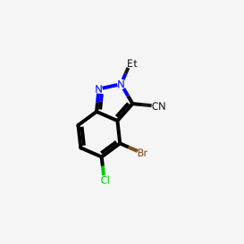 CCn1nc2ccc(Cl)c(Br)c2c1C#N